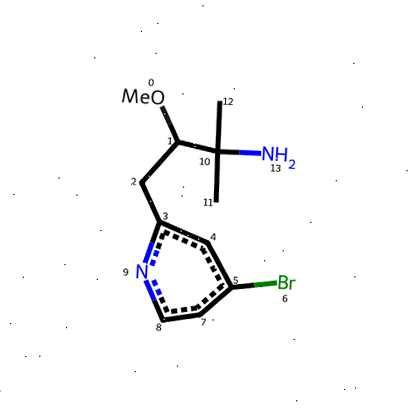 COC(Cc1cc(Br)ccn1)C(C)(C)N